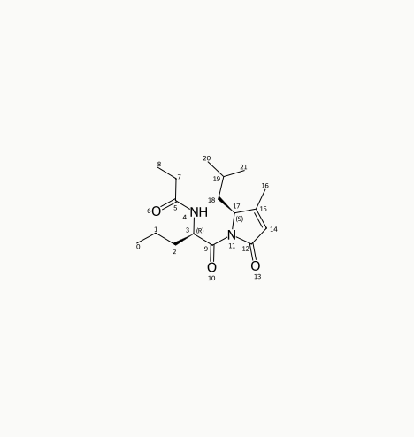 CCC[C@@H](NC(=O)CC)C(=O)N1C(=O)C=C(C)[C@@H]1CC(C)C